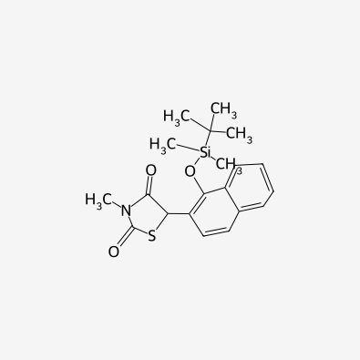 CN1C(=O)SC(c2ccc3ccccc3c2O[Si](C)(C)C(C)(C)C)C1=O